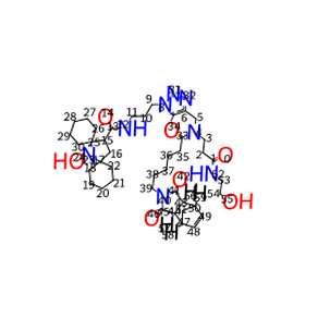 O=C(CCN(Cc1cn(CCCNC(=O)C2CC3(CCCCC3)N(O)C23CCCCC3)nn1)C(=O)CCCCCN1C(=O)[C@@H]2[C@H](C1=O)[C@H]1C=C[C@@H]2C1)NCCO